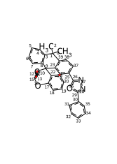 CC1(C)c2ccccc2C2(c3ccccc3Oc3ccccc32)c2cc(-c3nnc(-c4ccccc4)o3)ccc21